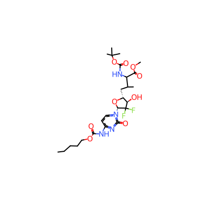 CCCCCOC(=O)Nc1ccn([C@@H]2O[C@H](CC(C)C(NC(=O)OC(C)(C)C)C(=O)OC)[C@@H](O)C2(F)F)c(=O)n1